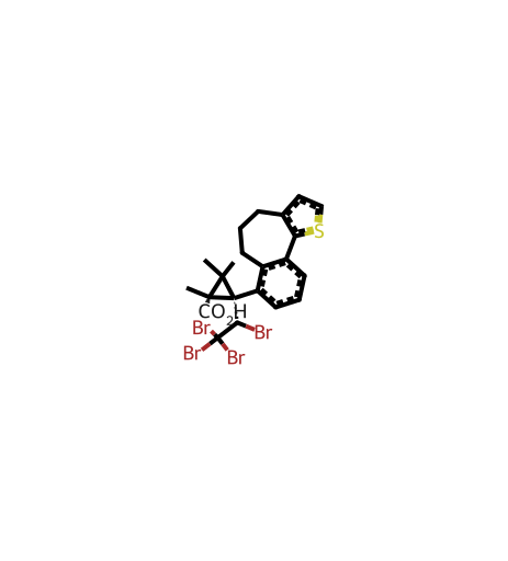 CC1(C)[C@](C)(C(=O)O)[C@@]1(c1cccc2c1CCCc1ccsc1-2)C(Br)C(Br)(Br)Br